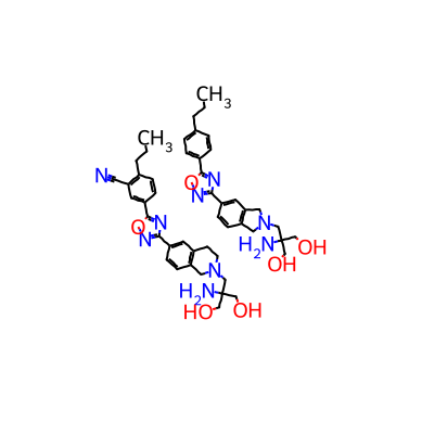 CCCc1ccc(-c2nc(-c3ccc4c(c3)CCN(CC(N)(CO)CO)C4)no2)cc1C#N.CCCc1ccc(-c2nc(-c3ccc4c(c3)CN(CC(N)(CO)CO)C4)no2)cc1